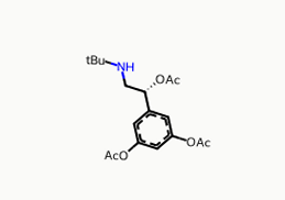 CC(=O)Oc1cc(OC(C)=O)cc([C@H](CNC(C)(C)C)OC(C)=O)c1